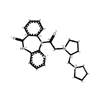 O=C1Nc2cccnc2N(C(=O)CN2CCC[C@H]2CN2CCCC2)c2ccccc21